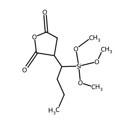 CCCC(C1CC(=O)OC1=O)[Si](OC)(OC)OC